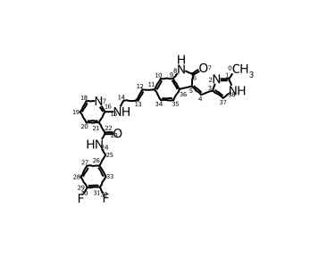 Cc1nc(/C=C2\C(=O)Nc3cc(/C=C/CNc4ncccc4C(=O)NCc4ccc(F)c(F)c4)ccc32)c[nH]1